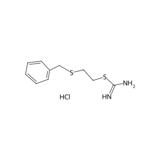 Cl.N=C(N)SCCSCc1ccccc1